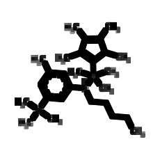 CCCCC[SiH](c1cc(C)cc([Si](C)(C)C)c1)[Ti]([CH3])([CH3])([CH3])[C]1=C(C)C(C)=C(C)C1C